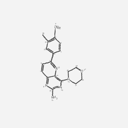 COc1ccc(-c2ccc3nc(N)nc(N4CCOCC4)c3n2)cc1C